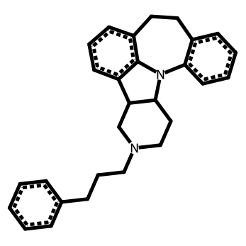 c1ccc(CCCN2CCC3C(C2)c2cccc4c2N3c2ccccc2CC4)cc1